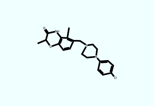 Cc1c(CN2CCN(c3ccc(Cl)cc3)CC2)ccc2c1NC(=O)C(C)O2